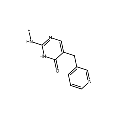 [CH2]CNc1ncc(Cc2cccnc2)c(=O)[nH]1